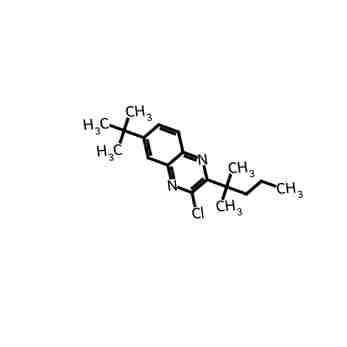 CCCC(C)(C)c1nc2ccc(C(C)(C)C)cc2nc1Cl